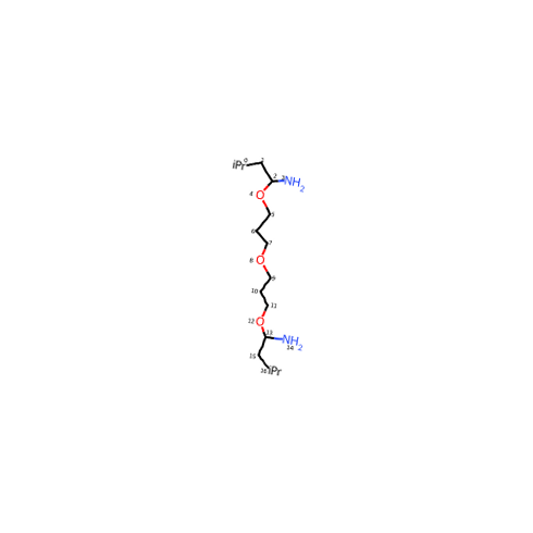 CC(C)CC(N)OCCCOCCCOC(N)CC(C)C